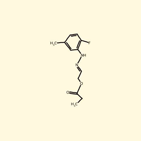 CCC(=O)OCC=NNc1cc(C)ccc1F